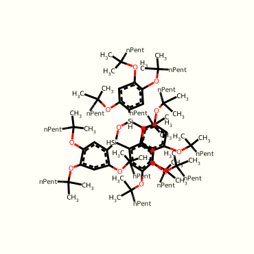 CCCCCC(C)(C)Oc1cc(OC(C)(C)CCCCC)c([SiH](O[SiH](c2cc(OC(C)(C)CCCCC)c(OC(C)(C)CCCCC)cc2OC(C)(C)CCCCC)c2cc(OC(C)(C)CCCCC)c(OC(C)(C)CCCCC)cc2OC(C)(C)CCCCC)c2cc(OC(C)(C)CCCCC)c(OC(C)(C)CCCCC)cc2OC(C)(C)CCCCC)cc1OC(C)(C)CCCCC